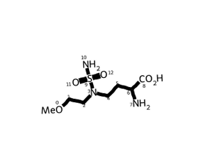 COCCN(CCC(N)C(=O)O)S(N)(=O)=O